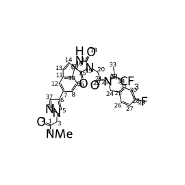 CNC(=O)Cn1cc(-c2ccc3c(c2)C=C[C@]32NC(=O)N(CC(=O)N(Cc3ccc(F)cc3)[C@@H](C)C(F)(F)F)C2=O)cn1